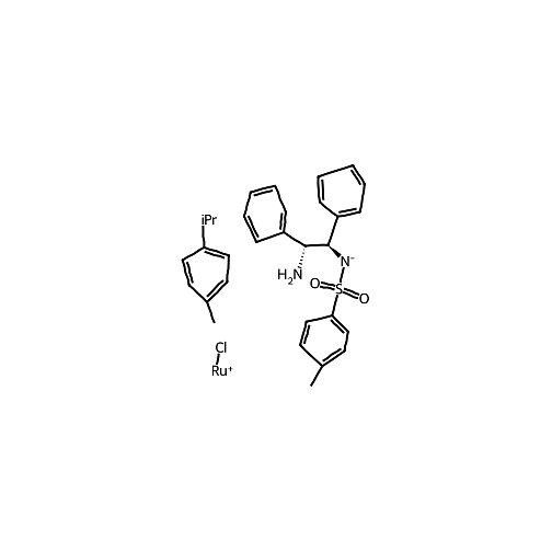 Cc1ccc(C(C)C)cc1.Cc1ccc(S(=O)(=O)[N-][C@H](c2ccccc2)[C@H](N)c2ccccc2)cc1.[Cl][Ru+]